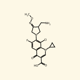 CON=C1CN(c2c(F)cc3c(=O)c(C(=O)O)cn(C4CC4)c3c2Cl)CC1CN